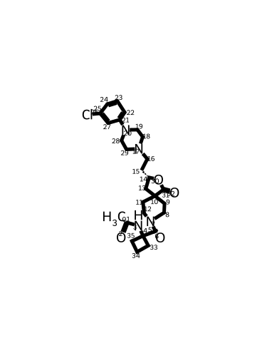 CC(=O)NC1(C(=O)N2CCC3(CC2)C[C@H](CCN2CCN(c4cccc(Cl)c4)CC2)OC3=O)CCC1